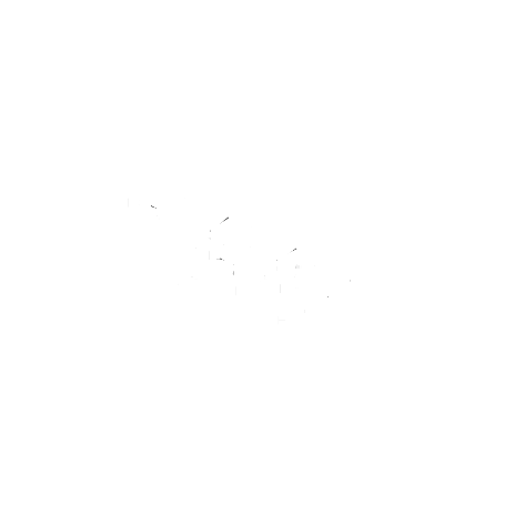 CC1CCC2(OC1)O[C@H]1C[C@H]3[C@@H]4C[C@H](O)[C@H]5C[C@@H](O)CC[C@]5(C)[C@H]4CC[C@]3(C)[C@H]1[C@@H]2C